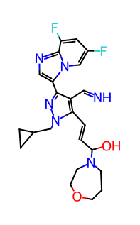 N=Cc1c(-c2cnc3c(F)cc(F)cn23)nn(CC2CC2)c1/C=C/C(O)N1CCCOCC1